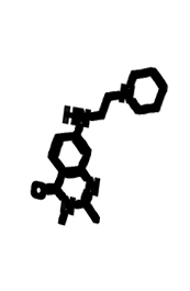 Cc1nc2cc(NCCN3CCCCC3)ccc2c(=O)n1C